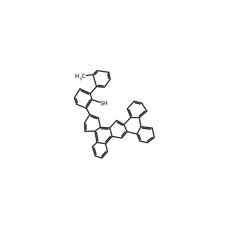 Cc1ccccc1-c1cccc(-c2ccc3c4ccccc4c4cc5c6ccccc6c6ccccc6c5cc4c3c2)c1S